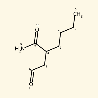 CCCCC(C[C]=O)C(N)=O